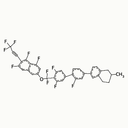 CC1CCc2cc(-c3ccc(-c4cc(F)c(C(F)(F)Oc5cc(F)c6c(F)c(C#CC(F)(F)F)c(F)cc6c5)c(F)c4)c(F)c3)ccc2C1